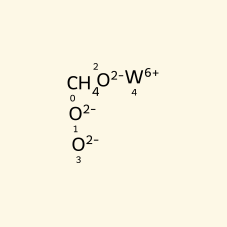 C.[O-2].[O-2].[O-2].[W+6]